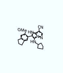 COc1cc2c(cc1-c1[nH]c3c(C#N)cnn3c1NC1CCCC1)CCC2